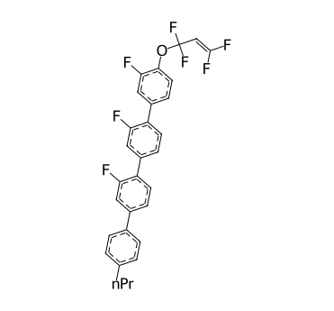 CCCc1ccc(-c2ccc(-c3ccc(-c4ccc(OC(F)(F)C=C(F)F)c(F)c4)c(F)c3)c(F)c2)cc1